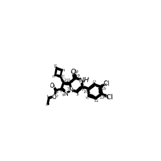 CCOC(=O)c1nn2cc(-c3ccc(Cl)c(Cl)c3)[nH]c(=O)c2c1C1CCC1